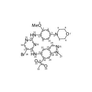 COc1cc(N2CCOCC2)ccc1Nc1ncc(Br)c(Nc2cc3cnn(C)c3cc2S(C)(=O)=O)n1